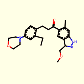 CCc1cc(N2CCOCC2)ccc1CCC(=O)c1cc2c(cc1C)NNC2COC